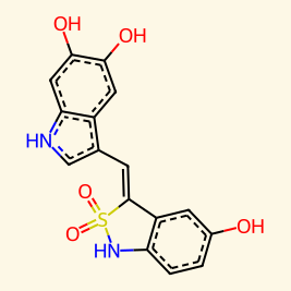 O=S1(=O)Nc2ccc(O)cc2C1=Cc1c[nH]c2cc(O)c(O)cc12